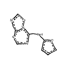 c1coc(Nc2ncnc3ncnn23)c1